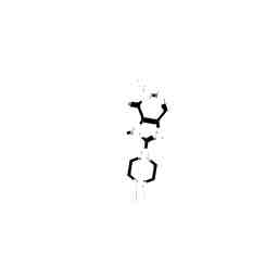 CCn1c(N2CCNCC2)nc2cnn(C)c(=O)c21